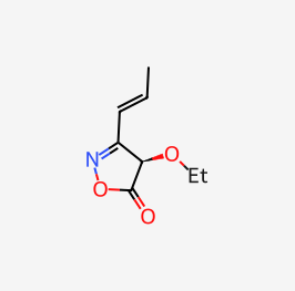 CC=CC1=NOC(=O)[C@@H]1OCC